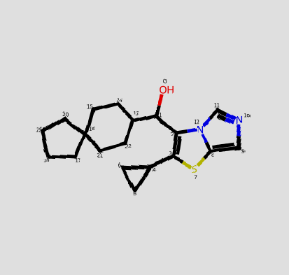 OC(c1c(C2CC2)sc2cncn12)C1CCC2(CCCC2)CC1